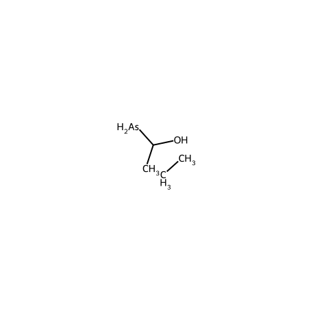 CC.CC(O)[AsH2]